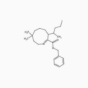 CC(CCI)C1CCCC(C)(P)CC/N=C\1C(=O)OCc1ccccc1